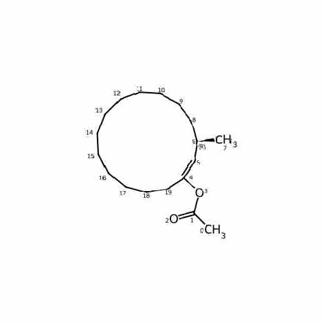 CC(=O)OC1=C[C@H](C)CCCCCCCCCCCC1